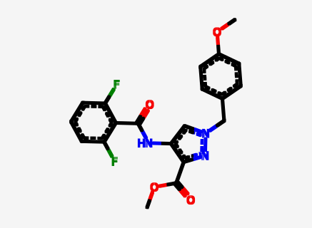 COC(=O)c1nn(Cc2ccc(OC)cc2)cc1NC(=O)c1c(F)cccc1F